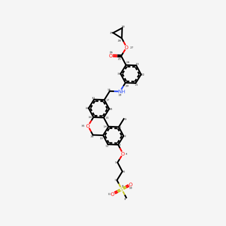 Cc1cc(OCCCS(C)(=O)=O)cc2c1-c1cc(CNc3cccc(C(=O)OC4CC4)c3)ccc1OC2